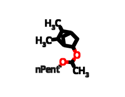 CCCCCOC(C)OC1CC2CC1C(C)C2C